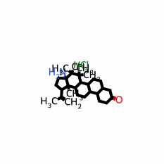 C=C(C)C1CCC2(N)C1(C)C1CCC3C4CCC(=O)CC4CCC3C1C(C)(C)C2(C)C.Cl